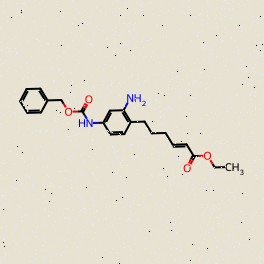 CCOC(=O)C=CCCCc1ccc(NC(=O)OCc2ccccc2)cc1N